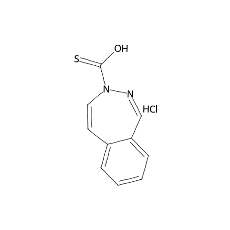 Cl.OC(=S)N1C=Cc2ccccc2C=N1